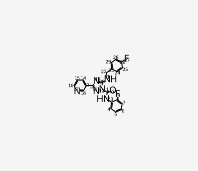 O=C(Nc1ccccc1F)n1nc(-c2cccnc2)nc1NCc1ccc(F)cc1